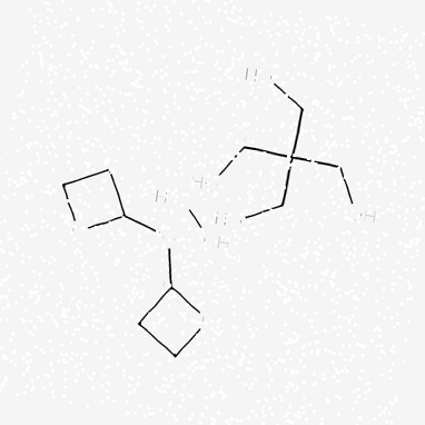 C1CC(OC2CCO2)O1.CO.OCC(CO)(CO)CO